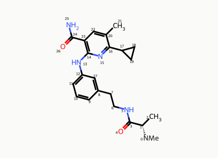 CN[C@@H](C)C(=O)NCCc1cccc(Nc2nc(C3CC3)c(C)cc2C(N)=O)c1